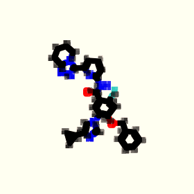 O=C(Nc1cccc(-c2nnc3n2CCCC3)n1)c1cc(-n2cnc(C3CC3)c2)c(OCc2ccccc2)cc1F